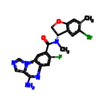 Cc1cc2c(cc1Br)[C@H](N(C)C(=O)c1cc3c(cc1F)nc(N)c1cncn13)CO2